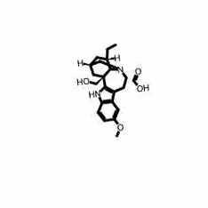 CC[C@H]1C[C@@H]2CN3CCc4c([nH]c5ccc(OC)cc45)[C@](CO)(C2)C13.O=CO